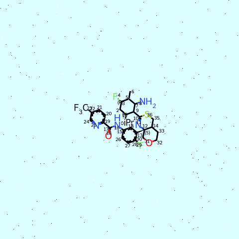 CC(C)[C@H]1C[C@@H](F)C(C)C(N)C1C1=N[C@@]2(c3cc(NC(=O)c4ccc(C(F)(F)F)cn4)ccc3F)COCCC2CS1